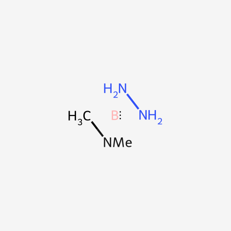 CNC.NN.[B]